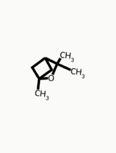 CC12CC(C1)C(C)(C)O2